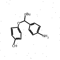 [CH]c1ccc(OC(CCCC)c2ccc(N)cc2)cc1